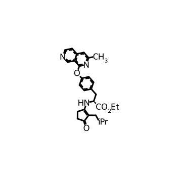 CCOC(=O)[C@H](Cc1ccc(Oc2nc(C)cc3ccncc23)cc1)NC1=C(CC(C)C)C(=O)CC1